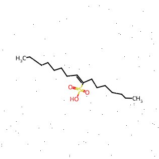 CCCCCCCC=C(CCCCCCC)S(=O)(=O)O